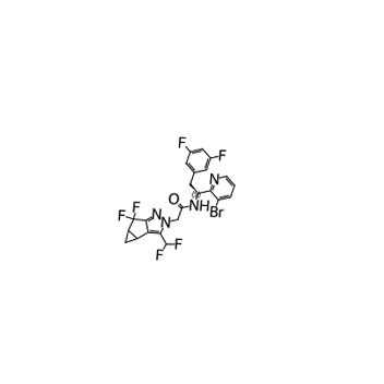 O=C(Cn1nc2c(c1C(F)F)C1CC1C2(F)F)N[C@@H](Cc1cc(F)cc(F)c1)c1ncccc1Br